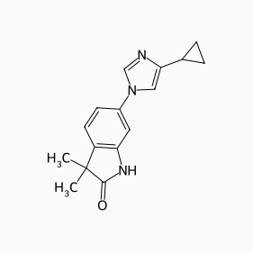 CC1(C)C(=O)Nc2cc(-n3cnc(C4CC4)c3)ccc21